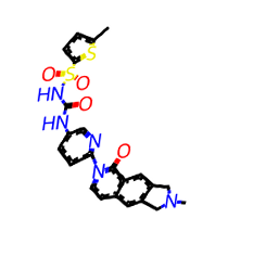 Cc1ccc(S(=O)(=O)NC(=O)Nc2ccc(-n3ccc4cc5c(cc4c3=O)CN(C)C5)nc2)s1